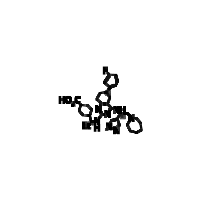 CC[C@@H](Nc1nc2c(c(N[C@@H](CN3CCCCCC3)c3cnn(C)c3)n1)C[C@H](c1cccc(F)c1)CC2)C1CCC(C(=O)O)CC1